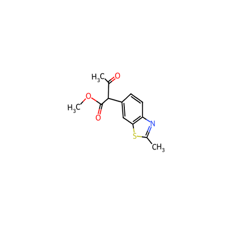 COC(=O)C(C(C)=O)c1ccc2nc(C)sc2c1